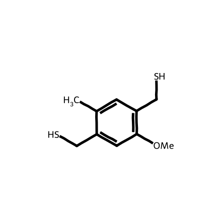 COc1cc(CS)c(C)cc1CS